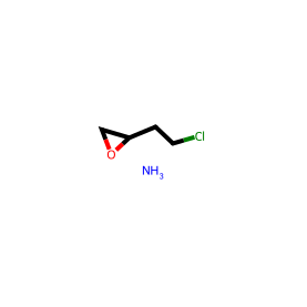 ClCCC1CO1.N